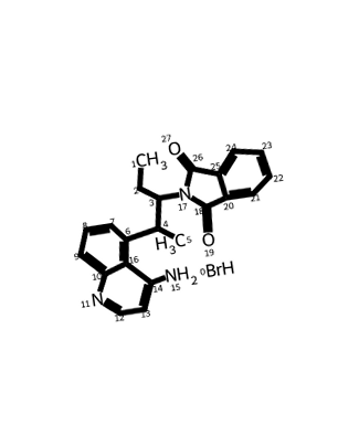 Br.CCC(C(C)c1cccc2nccc(N)c12)N1C(=O)c2ccccc2C1=O